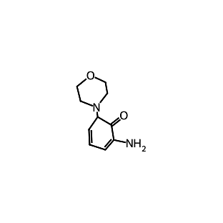 NC1=CC=CC(N2CCOCC2)C1=O